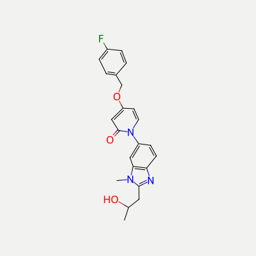 CC(O)Cc1nc2ccc(-n3ccc(OCc4ccc(F)cc4)cc3=O)cc2n1C